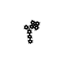 c1ccc(-c2ccc(-c3ccc(N(c4ccccc4)c4ccc5c(c4)-c4ccccc4C54c5ccccc5-c5ccccc54)cc3)cc2)cc1